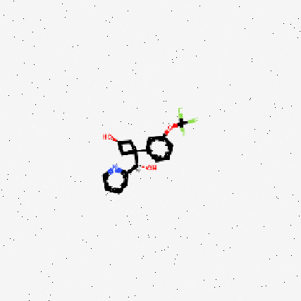 O[C@H](c1ccccn1)[C@]1(c2cccc(OC(F)(F)F)c2)C[C@@H](O)C1